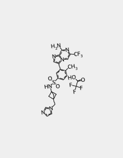 Cc1ccc(S(=O)(=O)NC23CC(Cn4ccnc4)(C2)C3)cc1-c1cnc2c(N)nc(C(F)(F)F)cn12.O=C(O)C(F)(F)F